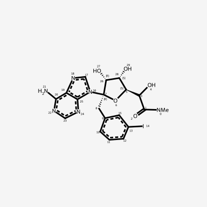 CNC(=O)C(O)[C@H]1O[C@@](Cc2cccc(I)c2)(n2cnc3c(N)ncnc32)[C@H](O)[C@@H]1O